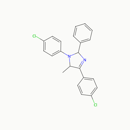 CC1C(c2ccc(Cl)cc2)=NC(c2ccccc2)N1c1ccc(Cl)cc1